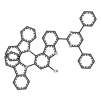 N#Cc1cc(-n2c3ccccc3c3ccccc32)c(-n2c3ccccc3c3ccccc32)c2c1oc1c(-c3nc(-c4ccccc4)cc(-c4ccccc4)n3)cccc12